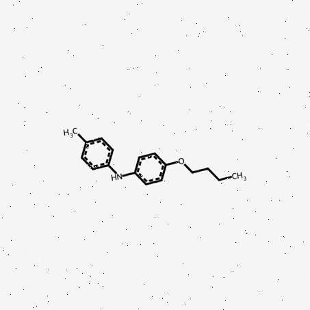 CCCCOc1ccc(Nc2ccc(C)cc2)cc1